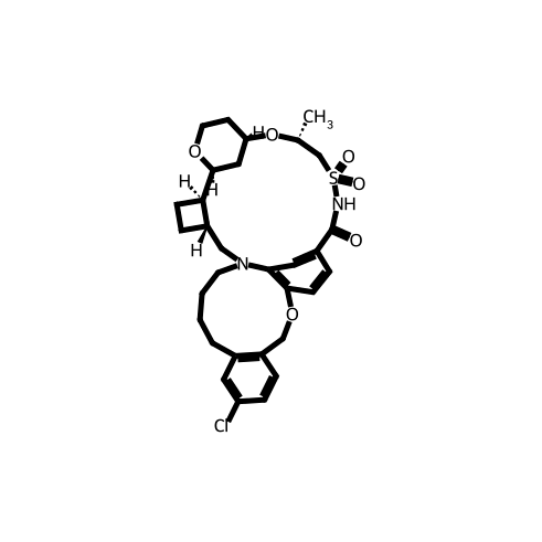 C[C@@H]1CS(=O)(=O)NC(=O)c2ccc3c(c2)N(CCCCc2cc(Cl)ccc2CO3)C[C@@H]2CC[C@H]2[C@@H]2C[C@H](CCO2)O1